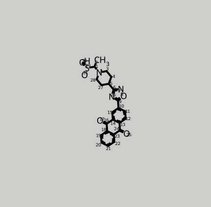 CC(N1CCC(c2noc(-c3ccc4c(c3)C(=O)c3ccccc3C4=O)n2)CC1)[SH](=O)=O